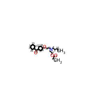 C=CC(=O)OCCN(CCCC)CCOc1ccc(C(=O)c2ccccc2)cc1